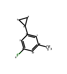 Fc1cc(C2CC2)cc(C(F)(F)F)c1